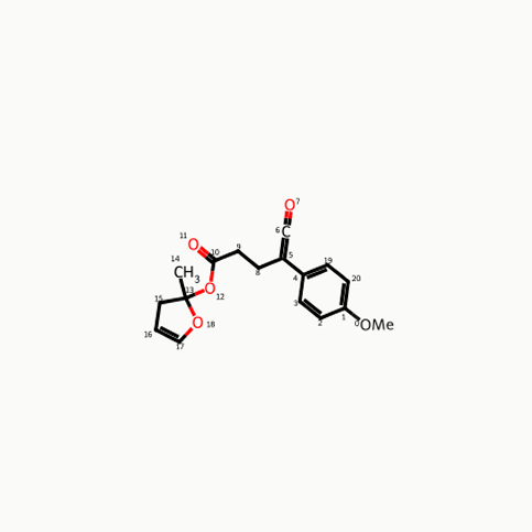 COc1ccc(C(=C=O)CCC(=O)OC2(C)CC=CO2)cc1